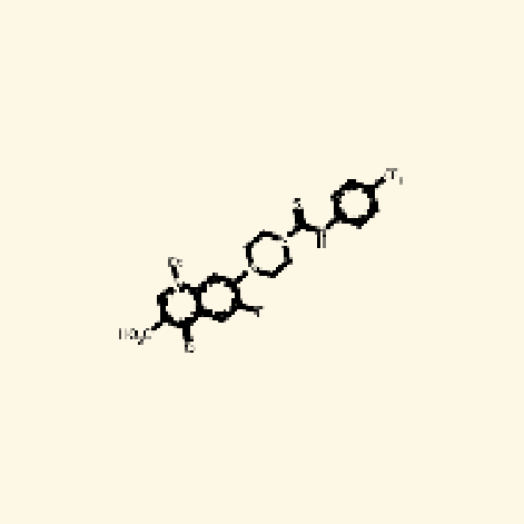 CCn1cc(C(=O)O)c(=O)c2cc(F)c(N3CCN(C(=S)Nc4ccc(C(F)(F)F)cc4)CC3)cc21